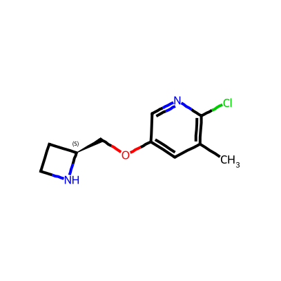 Cc1cc(OC[C@@H]2CCN2)cnc1Cl